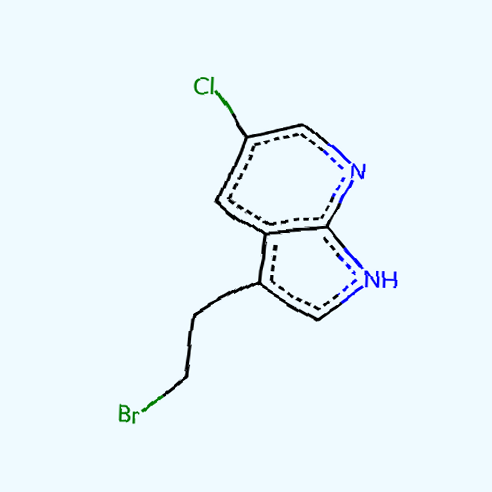 Clc1cnc2[nH]cc(CCBr)c2c1